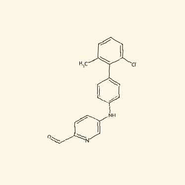 Cc1cccc(Cl)c1-c1ccc(Nc2ccc(C=O)nc2)cc1